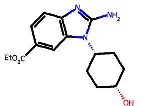 CCOC(=O)c1ccc2nc(N)n([C@H]3CC[C@@H](O)CC3)c2c1